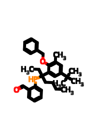 CCCCC(CC)(Pc1ccccc1C=O)c1cc(C(C)(C)C)cc(C)c1OCc1ccccc1